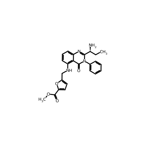 CC[C@H](N)c1nc2cccc(NCc3ccc(C(=O)OC)o3)c2c(=O)n1-c1ccccc1